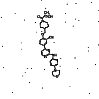 C[C@H](O)C(=O)N1CCC(COc2ccc(-c3ccnc(Nc4ccc(N5CCOCC5)cc4)n3)cc2C#N)CC1